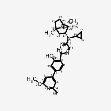 COc1cc(-c2ccc(-c3ncc(N(C4CC4)[C@@H]4C[C@@]5(C)CC[C@](C)(N5)[C@@H]4F)nn3)c(O)c2)cc(F)n1